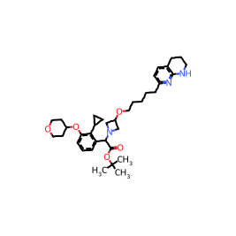 CC(C)(C)OC(=O)C(c1cccc(OC2CCOCC2)c1C1CC1)N1CC(OCCCCCc2ccc3c(n2)NCCC3)C1